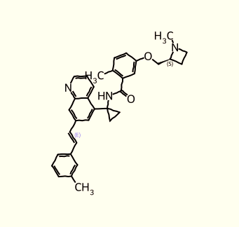 Cc1cccc(/C=C/c2cc(C3(NC(=O)c4cc(OC[C@@H]5CCN5C)ccc4C)CC3)c3cccnc3c2)c1